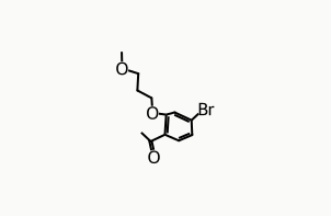 COCCCOc1cc(Br)ccc1C(C)=O